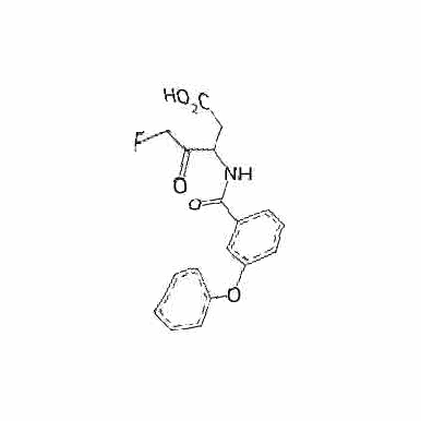 O=C(O)CC(NC(=O)c1cccc(Oc2ccccc2)c1)C(=O)CF